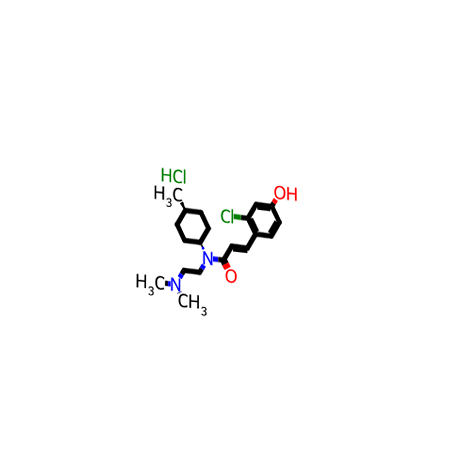 CN(C)CCN(C(=O)C=Cc1ccc(O)cc1Cl)[C@H]1CC[C@H](C)CC1.Cl